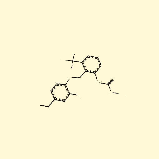 CCc1ccc(OCc2c(NC(=O)OC)cccc2C(F)(F)F)c(Br)c1